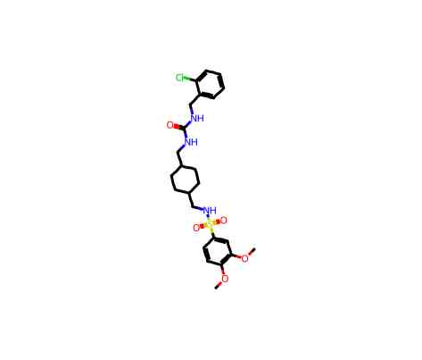 COc1ccc(S(=O)(=O)NCC2CCC(CNC(=O)NCc3ccccc3Cl)CC2)cc1OC